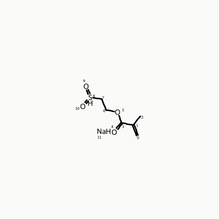 C=C(C)C(=O)OCC[SH](=O)=O.[NaH]